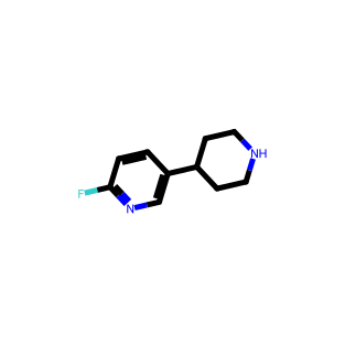 Fc1ccc(C2CCNCC2)cn1